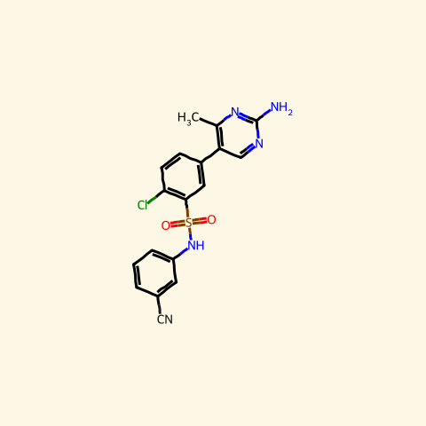 Cc1nc(N)ncc1-c1ccc(Cl)c(S(=O)(=O)Nc2cccc(C#N)c2)c1